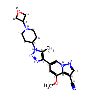 COc1cc(-c2nnn(C3CCN(C4COC4)CC3)c2C)cn2ncc(C#N)c12